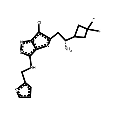 N[C@H](Cc1sc2c(NCc3cccs3)snc2c1Cl)C1CC(F)(F)C1